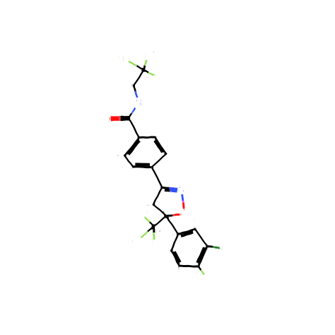 O=C(NCC(F)(F)F)c1ccc(C2=NOC(c3ccc(F)c(Cl)c3)(C(F)(F)F)C2)cc1